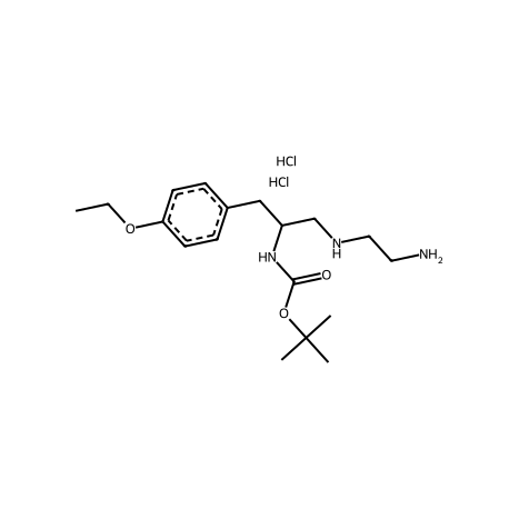 CCOc1ccc(CC(CNCCN)NC(=O)OC(C)(C)C)cc1.Cl.Cl